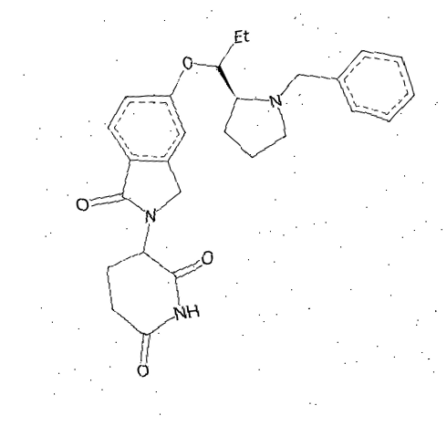 CCC(Oc1ccc2c(c1)CN(C1CCC(=O)NC1=O)C2=O)[C@@H]1CCCN1Cc1ccccc1